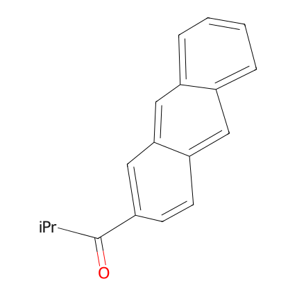 CC(C)C(=O)c1ccc2cc3ccccc3cc2c1